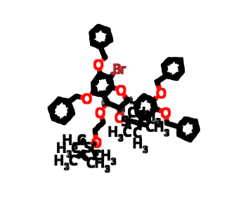 CC(C)(C)[Si](C)(C)OCCO[C@H]1c2c(OCc3ccccc3)cc(OCc3ccccc3)c(Br)c2O[C@H](c2ccc(OCc3ccccc3)c(OCc3ccccc3)c2)[C@H]1O[Si](C)(C)C(C)(C)C